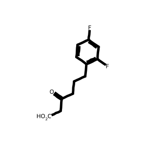 O=C(O)CC(=O)CCCc1ccc(F)cc1F